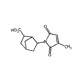 CC1=CC(=O)N(C2CC3CC(C(=O)O)C2C3)C1=O